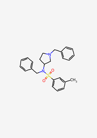 Cc1cccc(S(=O)(=O)N(Cc2ccccc2)C2CCN(Cc3ccccc3)C2)c1